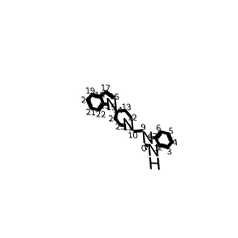 [CH]1Nc2ccccc2N1CCN1CCC(n2ccc3ccccc32)CC1